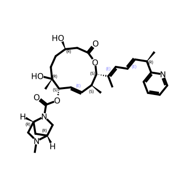 C/C(=C\C=C\[C@@H](C)c1ccccn1)[C@H]1OC(=O)C[C@H](O)CC[C@@](C)(O)[C@@H](OC(=O)N2C[C@H]3C[C@@H]2CN3C)/C=C/[C@@H]1C